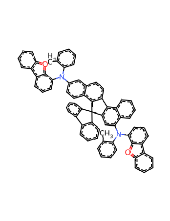 Cc1ccccc1N(c1ccc2c3c(ccc2c1)-c1c(cc(N(c2ccccc2C)c2cccc4c2oc2ccccc24)c2ccccc12)C31c2ccccc2-c2ccccc21)c1cccc2c1oc1ccccc12